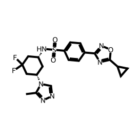 Cc1nncn1[C@H]1C[C@@H](NS(=O)(=O)c2ccc(-c3noc(C4CC4)n3)cc2)CC(F)(F)C1